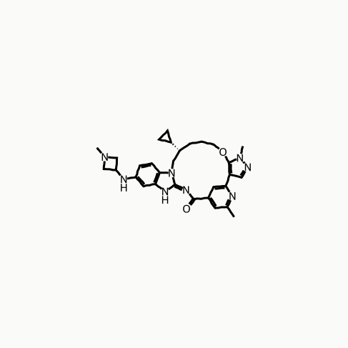 Cc1cc2cc(n1)-c1cnn(C)c1OCCC[C@@H](C1CC1)CN1/C(=N/C2=O)Nc2cc(NC3CN(C)C3)ccc21